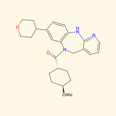 CO[C@H]1CC[C@H](C(=O)N2Cc3cccnc3Nc3ccc(C4CCOCC4)cc32)CC1